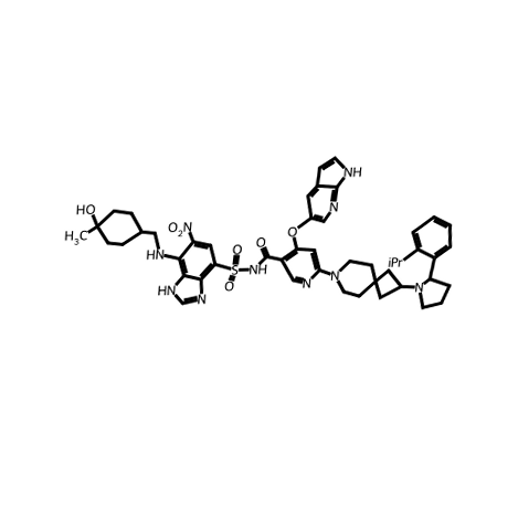 CC(C)c1ccccc1C1CCCN1C1CC2(CCN(c3cc(Oc4cnc5[nH]ccc5c4)c(C(=O)NS(=O)(=O)c4cc([N+](=O)[O-])c(NCC5CCC(C)(O)CC5)c5[nH]cnc45)cn3)CC2)C1